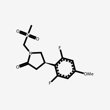 COc1cc(F)c([C@H]2CC(=O)N(CS(C)(=O)=O)C2)c(F)c1